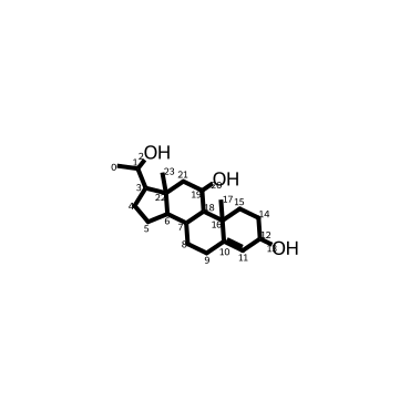 CC(O)C1CCC2C3CCC4=CC(O)CCC4(C)C3C(O)CC12C